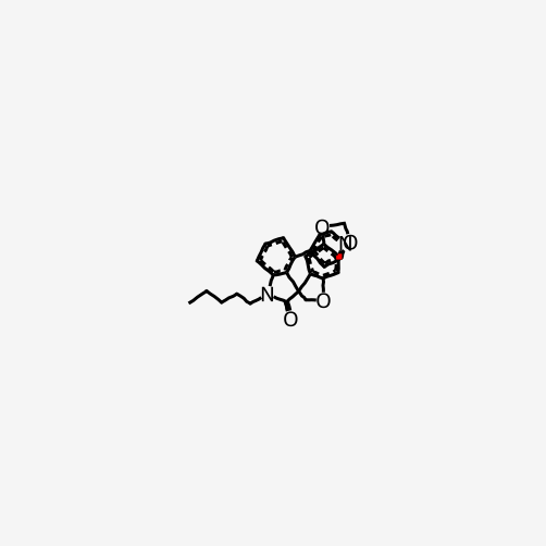 CCCCCN1C(=O)C2(COc3cc4c(cc32)OCO4)c2c(-c3ccncc3)cccc21